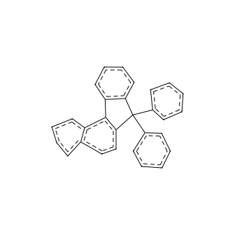 c1ccc(C2(c3ccccc3)c3ccccc3-c3c2ccc2ccccc32)cc1